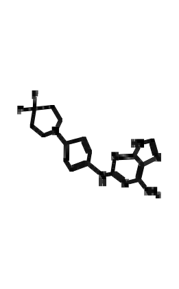 Nc1nc(Nc2ccc(N3CCC(F)(F)CC3)cc2)nc2[nH]cnc12